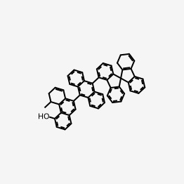 CC1CC=Cc2c(-c3c4ccccc4c(-c4cccc5c4-c4ccccc4C54C5=C(C=CCC5)c5ccccc54)c4ccccc34)cc3cccc(O)c3c21